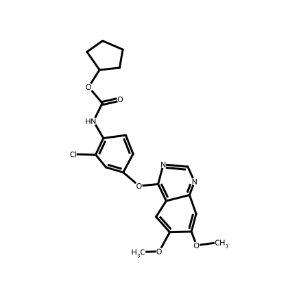 COc1cc2ncnc(Oc3ccc(NC(=O)OC4CCCC4)c(Cl)c3)c2cc1OC